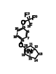 FC(F)(F)Oc1ccc(OC2CC3CCC(C2)N3)cc1